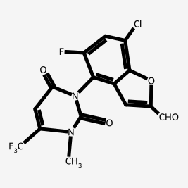 Cn1c(C(F)(F)F)cc(=O)n(-c2c(F)cc(Cl)c3oc(C=O)cc23)c1=O